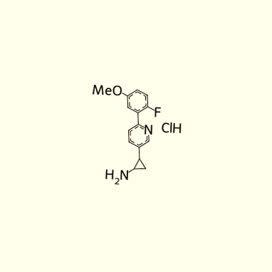 COc1ccc(F)c(-c2ccc(C3CC3N)cn2)c1.Cl